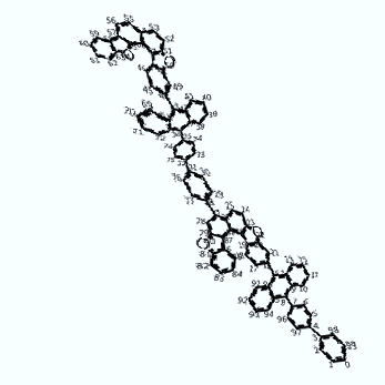 c1ccc(-c2ccc(-c3c4ccccc4c(-c4ccc5c(c4)oc4ccc6c(-c7ccc(-c8ccc(-c9c%10ccccc%10c(-c%10ccc%11c(c%10)oc%10ccc%12ccc%13c%14ccccc%14oc%13c%12c%10%11)c%10ccccc9%10)cc8)cc7)cc7oc8ccccc8c7c6c45)c4ccccc34)cc2)cc1